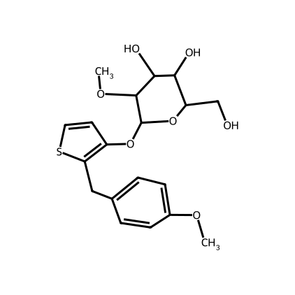 COc1ccc(Cc2sccc2OC2OC(CO)C(O)C(O)C2OC)cc1